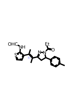 CCC(=O)N1N=C(/C(C)=C(\C)c2ccsc2NC=O)CC1c1ccc(C)cc1